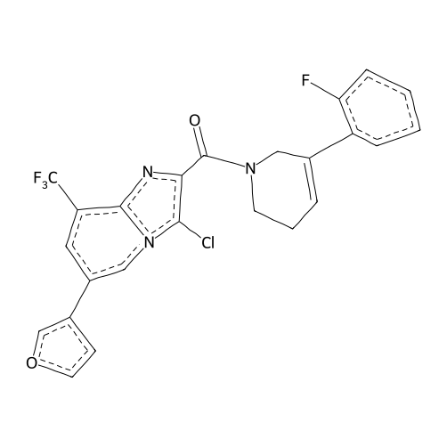 O=C(c1nc2c(C(F)(F)F)cc(-c3ccoc3)cn2c1Cl)N1CCC=C(c2ccccc2F)C1